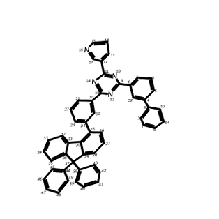 c1ccc(-c2cccc(-c3nc(-c4cccnc4)nc(-c4cccc(-c5cccc6c5-c5ccccc5C6(c5ccccc5)c5ccccc5)c4)n3)c2)cc1